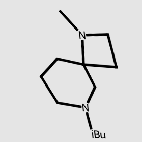 CCC(C)N1CCCC2(CCN2C)C1